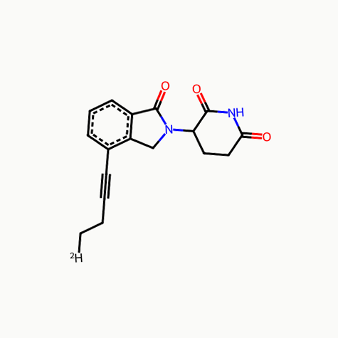 [2H]CCC#Cc1cccc2c1CN(C1CCC(=O)NC1=O)C2=O